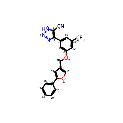 N#Cc1[nH]nnc1-c1cc(OCc2coc(-c3ccccc3)c2)cc(C(F)(F)F)c1